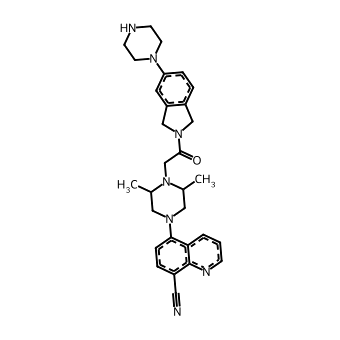 CC1CN(c2ccc(C#N)c3ncccc23)CC(C)N1CC(=O)N1Cc2ccc(N3CCNCC3)cc2C1